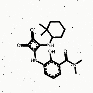 CN(C)C(=O)c1cccc(Nc2c(NC3CCCCC3(C)C)c(=O)c2=O)c1O